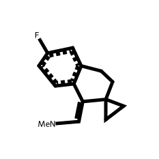 CN/C=C1\c2ccc(F)cc2CCC12CC2